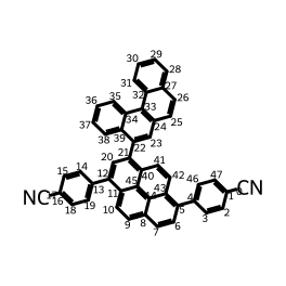 N#Cc1ccc(-c2ccc3ccc4c(-c5ccc(C#N)cc5)cc(-c5cc6ccc7ccccc7c6c6ccccc56)c5ccc2c3c45)cc1